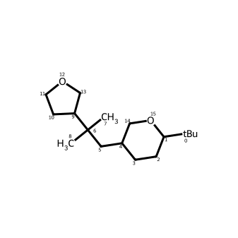 CC(C)(C)C1CCC(CC(C)(C)C2CCOC2)CO1